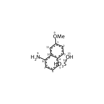 COc1ccc2cccc(N)c2c1.O=S(=O)(O)O